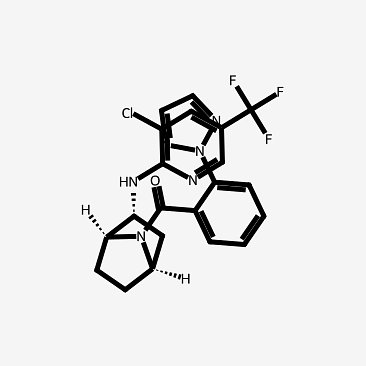 O=C(c1ccccc1-n1nccn1)N1[C@@H]2CC[C@H]1[C@H](Nc1ncc(C(F)(F)F)cc1Cl)C2